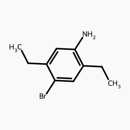 CCc1cc(Br)c(CC)cc1N